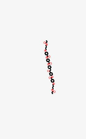 C=CC(=O)OCCCCOc1ccc(C(=O)Oc2ccc(C(=O)CC3=CC=C(OC(=O)c4ccc(OC(=O)c5ccc(OCCCCOC(=O)C=C)cc5)cc4)CC3)cc2)cc1